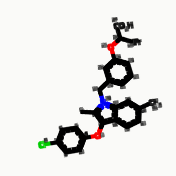 Cc1c(Oc2ccc(Cl)cc2)c2ccc(C(F)(F)F)cc2n1Cc1cccc(OC(C(=O)O)C(C)C)c1